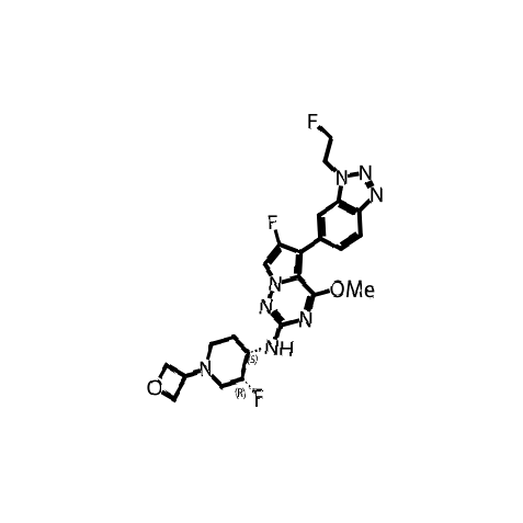 COc1nc(N[C@H]2CCN(C3COC3)C[C@H]2F)nn2cc(F)c(-c3ccc4nnn(CCF)c4c3)c12